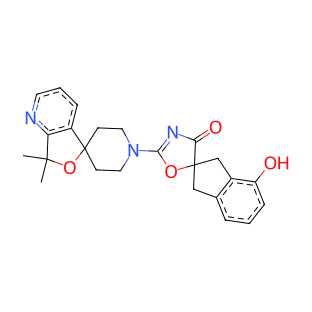 CC1(C)OC2(CCN(C3=NC(=O)C4(Cc5cccc(O)c5C4)O3)CC2)c2cccnc21